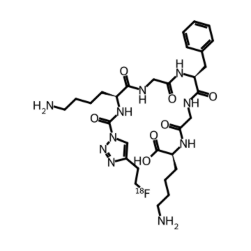 NCCCC[C@H](NC(=O)CNC(=O)[C@H](Cc1ccccc1)NC(=O)CNC(=O)[C@H](CCCCN)NC(=O)n1cc(CC[18F])nn1)C(=O)O